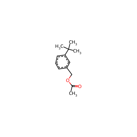 CC(=O)OCc1cccc(C(C)(C)C)c1